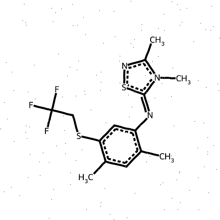 Cc1cc(C)c(SCC(F)(F)F)cc1N=c1snc(C)n1C